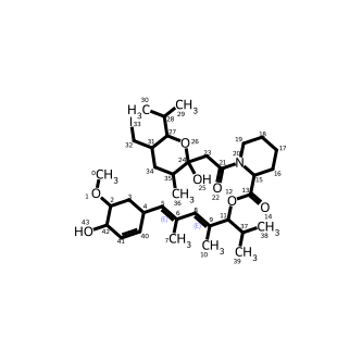 COC1CC(/C=C(C)/C=C(\C)C(OC(=O)C2CCCCN2C(=O)CC2(O)OC(C(C)C)C(CI)CC2C)C(C)C)C=CC1O